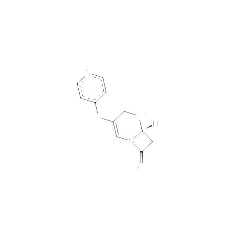 O=C1C[C@H]2SCC(Sc3ccncc3)=CN12